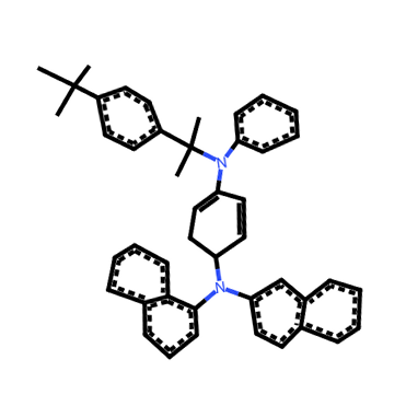 CC(C)(C)c1ccc(C(C)(C)N(C2=CCC(N(c3ccc4ccccc4c3)c3cccc4ccccc34)C=C2)c2ccccc2)cc1